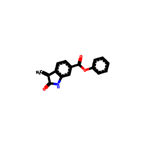 C=C1C(=O)Nc2cc(C(=O)Oc3ccccc3)ccc21